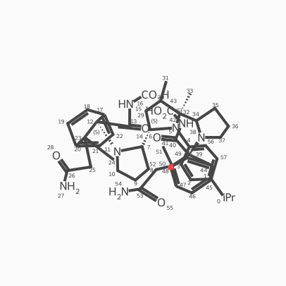 CC(C)c1ccc(N2[C@H](C3CCCN3[C@@]3(C(=O)NC(=O)O)c4ccc(cc4)C3(C)CC(N)=O)CC(C)[C@@]2(C)C2CCCN2[C@@]2(C(=O)NC(=O)O)c3ccc(cc3)C2(C)CC(N)=O)cc1